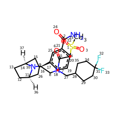 CS(=O)(=O)CC(=O)N(CCN1[C@@H]2CC[C@H]1C[C@@H](c1cccc(C(N)=O)c1)C2)CC1CCC(F)(F)CC1